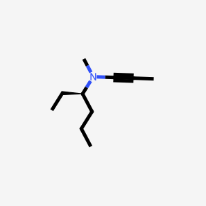 CC#CN(C)[C@H](CC)CCC